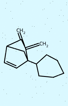 C=C1C(=C)C2(C3CCCCC3)C=CC1C2